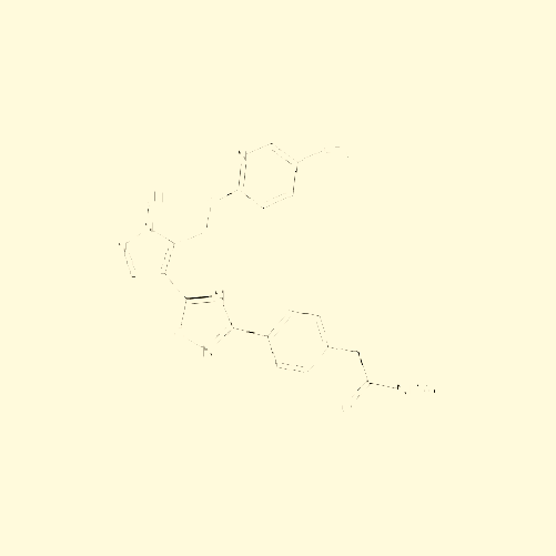 CC(=O)NC(=O)Cc1ccc(-c2noc(-c3cnn(C)c3COc3ccc(C(F)(F)F)cn3)n2)cc1